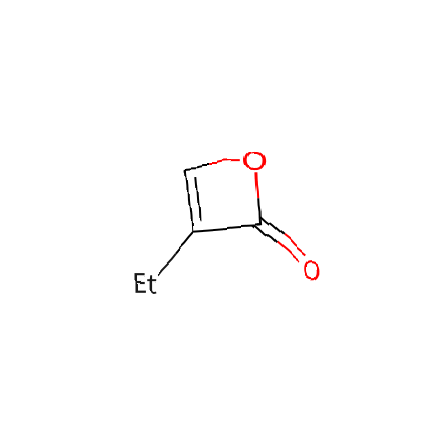 CCC1=COC1=O